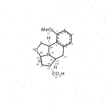 COc1cccc2c1[C@@H]1CO[C@@H]3C[C@@H](C(=O)O)[C@H](C2)N31